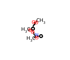 CCOC(=O)C=Cc1ccc(OCCc2nc(-c3ccccc3)oc2C)c(OC)c1